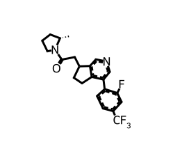 C[C@H]1CCCN1C(=O)CC1CCc2c(-c3ccc(C(F)(F)F)cc3F)cncc21